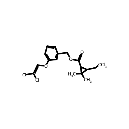 CC1(C)C(CC(Cl)(Cl)Cl)C1C(=O)OCc1cccc(OC=C(Cl)Cl)c1